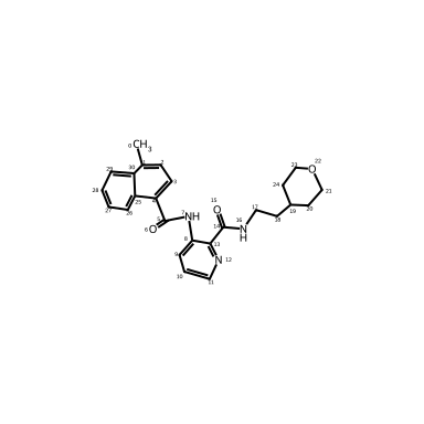 Cc1ccc(C(=O)Nc2cccnc2C(=O)NCCC2CCOCC2)c2ccccc12